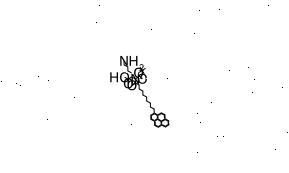 CC(C)(C)OC(=O)N(C(=O)CCCCCCCCCc1ccc2ccc3cccc4ccc1c2c34)[C@@H](CCCCN)C(=O)O